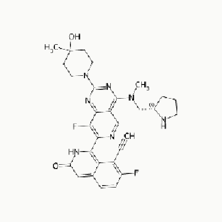 C#Cc1c(F)ccc2cc(=O)[nH]c(-c3ncc4c(N(C)C[C@@H]5CCCN5)nc(N5CCC(C)(O)CC5)nc4c3F)c12